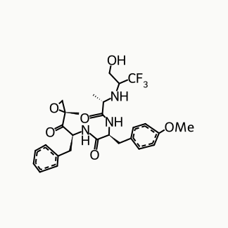 COc1ccc(C[C@H](NC(=O)[C@H](C)NC(CO)C(F)(F)F)C(=O)N[C@@H](Cc2ccccc2)C(=O)[C@@]2(C)CO2)cc1